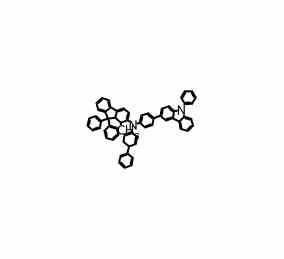 CC1C(N(C2=CCC(c3ccccc3)C=C2)c2ccc(-c3ccc4c(c3)c3ccccc3n4-c3ccccc3)cc2)=CC=C2c3ccccc3C(c3ccccc3)(c3ccccc3)C21